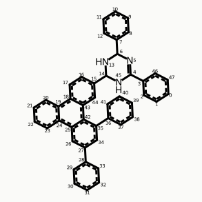 c1ccc(C2=NC(c3ccccc3)NC(c3ccc4c5ccccc5c5cc(-c6ccccc6)cc(-c6ccccc6)c5c4c3)N2)cc1